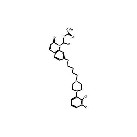 COC(=O)OC(C(C)C)n1c(=O)ccc2ccc(OCCCCN3CCN(c4cccc(Cl)c4Cl)CC3)cc21